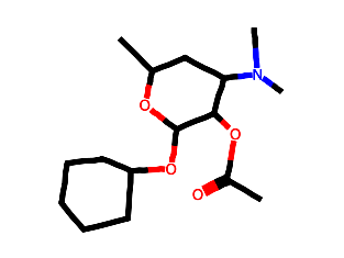 CC(=O)OC1C(OC2CCCCC2)OC(C)CC1N(C)C